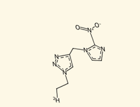 [2H]CCn1cc(Cn2ccnc2[N+](=O)[O-])nn1